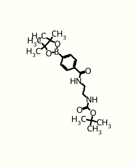 CC(C)(C)OC(=O)NCCNC(=O)c1ccc(B2OC(C)(C)C(C)(C)O2)cc1